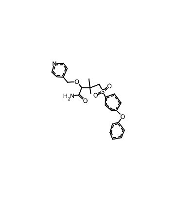 CC(C)(CS(=O)(=O)c1ccc(Oc2ccccc2)cc1)C(OCc1ccncc1)C(N)=O